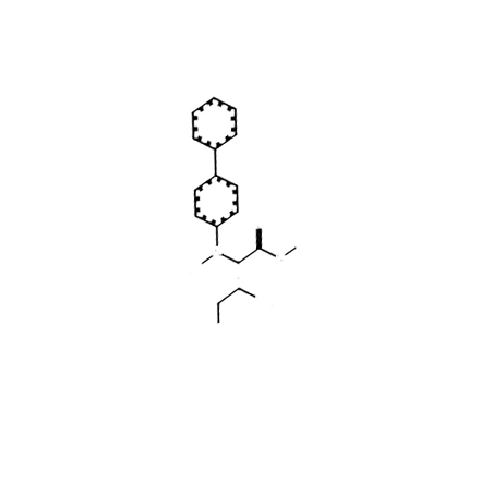 CCC(C)[C@@H](C(=O)NC)N(C)c1ccc(-c2ccccc2)cc1